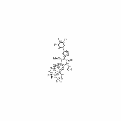 CO[C@@H]1[C@@H](n2cc(-c3cc(F)c(F)c(F)c3)nn2)[C@@H](O)[C@@H](CO)O[C@H]1S[C@H](C(=O)N1CCC(C)(C)CC1)C1(O)CCC(F)(F)CC1